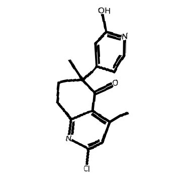 Cc1cc(Cl)nc2c1C(=O)C(C)(c1ccnc(O)c1)CC2